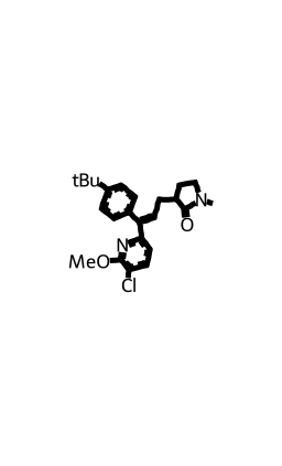 COc1nc(C(=CCC2CCN(C)C2=O)c2ccc(C(C)(C)C)cc2)ccc1Cl